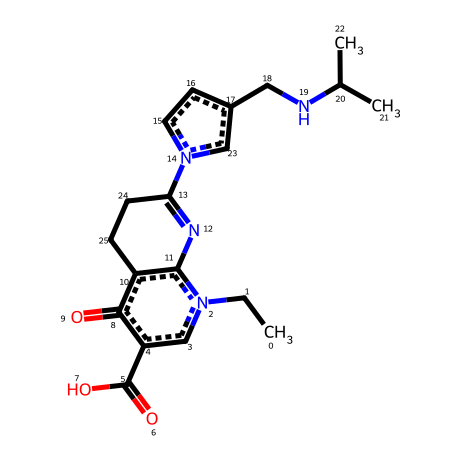 CCn1cc(C(=O)O)c(=O)c2c1N=C(n1ccc(CNC(C)C)c1)CC2